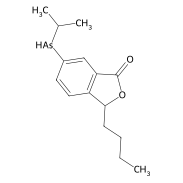 CCCCC1OC(=O)c2cc([AsH]C(C)C)ccc21